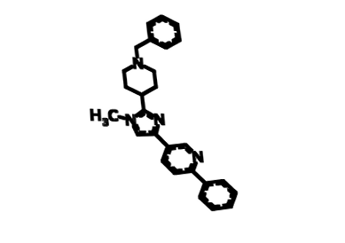 Cn1cc(-c2ccc(-c3ccccc3)nc2)nc1C1CCN(Cc2ccccc2)CC1